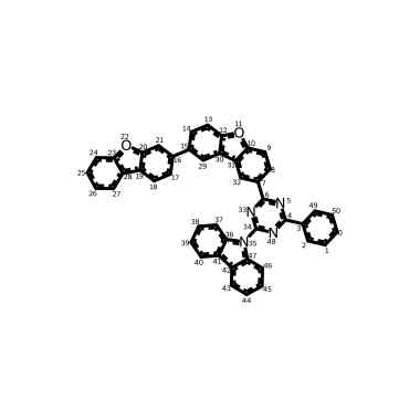 c1ccc(-c2nc(-c3ccc4oc5ccc(-c6ccc7c(c6)oc6ccccc67)cc5c4c3)nc(-n3c4ccccc4c4ccccc43)n2)cc1